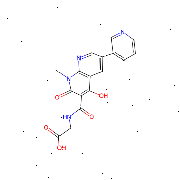 Cn1c(=O)c(C(=O)NCC(=O)O)c(O)c2cc(-c3cccnc3)cnc21